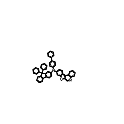 c1ccc(-c2ccc(N(c3ccc4c(c3)C(c3ccccc3)(c3ccccc3)c3ccccc3-4)c3ccc4c(c3)oc3cnc5ccccc5c34)cc2)cc1